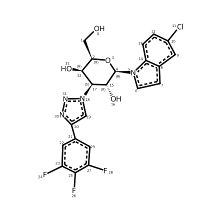 OC[C@H]1O[C@@H](n2ccc3cc(Cl)ccc32)[C@H](O)[C@@H](n2cc(-c3cc(F)c(F)c(F)c3)nn2)[C@H]1O